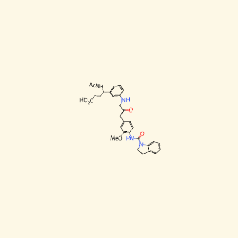 COc1cc(CC(=O)CNc2cccc(C(CCC(=O)O)NC(C)=O)c2)ccc1NC(=O)N1CCc2ccccc21